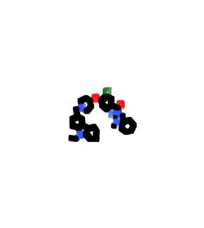 CCn1c2ccccc2c2cc(CN3CCC(Oc4ccc(C(=O)NCC5(N(C)C)CCCCC5)cc4Cl)CC3)ccc21